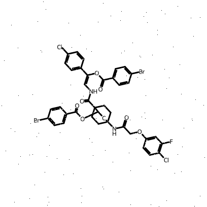 O=C(COc1ccc(Cl)c(F)c1)NC12CCC(C(=O)NC=C(OC(=O)c3ccc(Br)cc3)c3ccc(Cl)cc3)(CC1)C(OC(=O)c1ccc(Br)cc1)C2